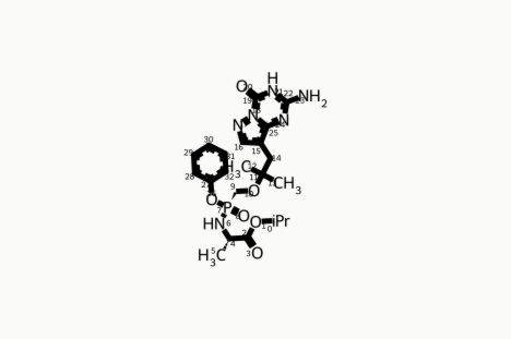 CC(C)OC(=O)[C@H](C)N[P@@](=O)(COC(C)(C)Cc1cnn2c(=O)[nH]c(N)nc12)Oc1ccccc1